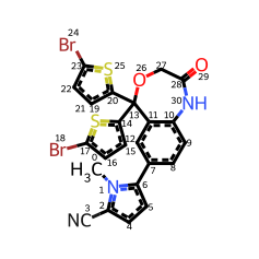 Cn1c(C#N)ccc1-c1ccc2c(c1)C(c1ccc(Br)s1)(c1ccc(Br)s1)OCC(=O)N2